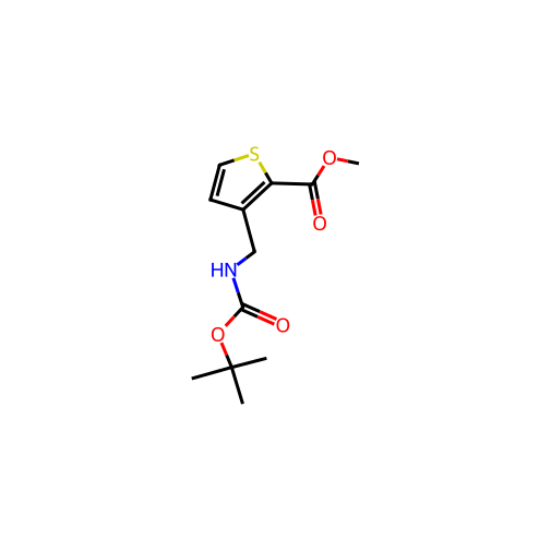 COC(=O)c1sccc1CNC(=O)OC(C)(C)C